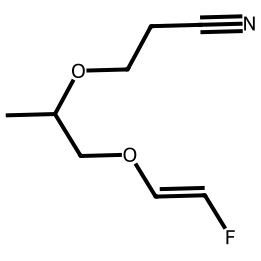 CC(COC=CF)OCCC#N